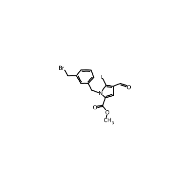 COC(=O)c1cc(C=O)c(I)n1Cc1cccc(CBr)c1